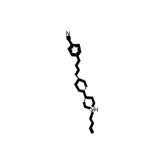 C=CCCC[Si@H]1CC[C@H]([C@H]2CC[C@H](CCCCc3ccc(C#N)cc3)CC2)CC1